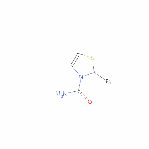 [CH2]CC1SC=CN1C(N)=O